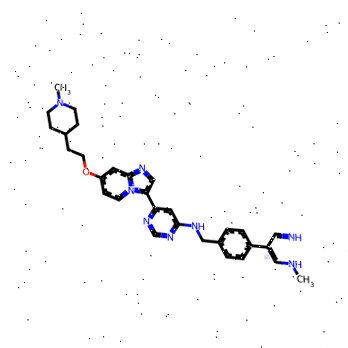 CN/C=C(\C=N)c1ccc(CNc2cc(-c3cnc4cc(OCCC5CCN(C)CC5)ccn34)ncn2)cc1